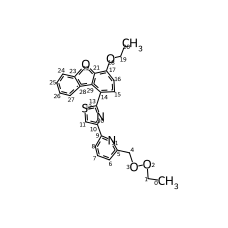 CCOOCc1cccc(-c2csc(-c3ccc(OCC)c4oc5ccccc5c34)n2)n1